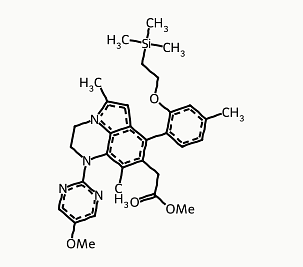 COC(=O)Cc1c(C)c2c3c(cc(C)n3CCN2c2ncc(OC)cn2)c1-c1ccc(C)cc1OCC[Si](C)(C)C